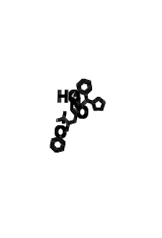 C[C](C)C(COc1ccccc1)Cc1cnc(C(c2ccccc2O)C2CCCC2)o1